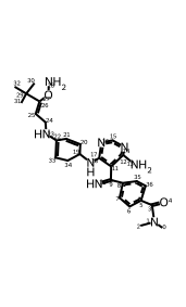 CN(C)C(=O)c1ccc(C(=N)c2c(N)ncnc2NC2C=CC(NC/C=C(\ON)C(C)(C)C)=CC2)cc1